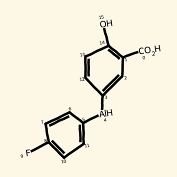 O=C(O)c1c[c]([AlH][c]2ccc(F)cc2)ccc1O